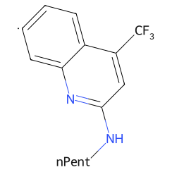 CCCCCNc1cc(C(F)(F)F)c2cc[c]cc2n1